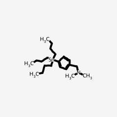 CCC[CH2][Sn]([CH2]CCC)([CH2]CCC)[c]1ccc(CN(C)C)cc1